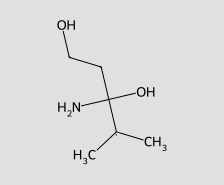 C[C](C)C(N)(O)CCO